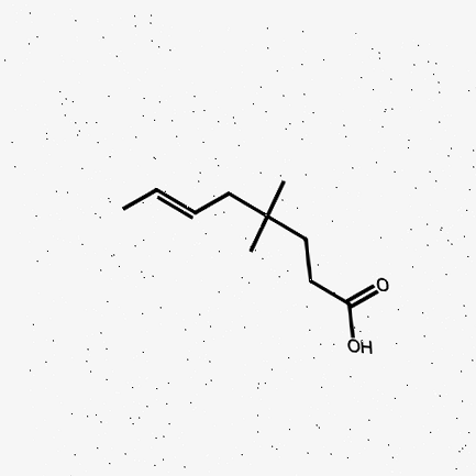 C/C=C/CC(C)(C)CCC(=O)O